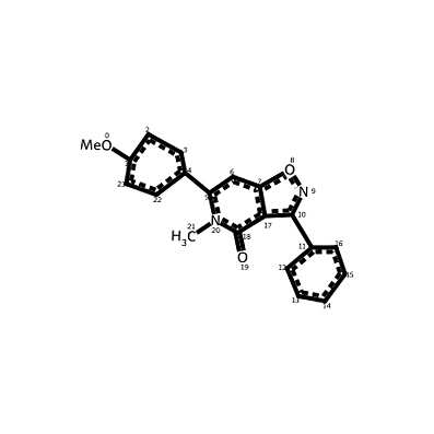 COc1ccc(-c2cc3onc(-c4ccccc4)c3c(=O)n2C)cc1